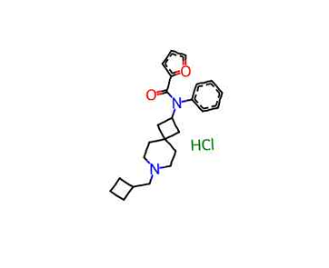 Cl.O=C(c1ccco1)N(c1ccccc1)C1CC2(CCN(CC3CCC3)CC2)C1